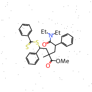 CCN(CC)C(=O)C(CC(C)(CC(SC(=S)c1ccccc1)c1ccccc1)C(=O)OC)c1ccccc1